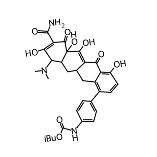 CC(C)COC(=O)Nc1ccc(-c2ccc(O)c3c2CC2CC4C(N(C)C)C(O)=C(C(N)=O)C(=O)C4(O)C(O)=C2C3=O)cc1